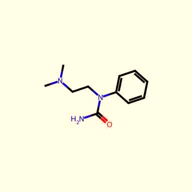 CN(C)CCN(C(N)=O)c1ccccc1